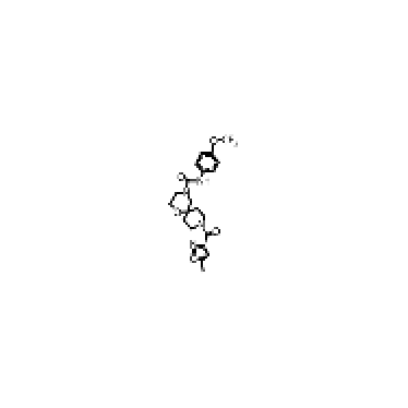 Cc1cc(C(=O)N2CCC3(CC2)CN(C(=O)Nc2ccc(OC(F)(F)F)cc2)CCO3)no1